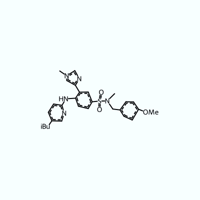 CCC(C)c1ccc(Nc2ccc(S(=O)(=O)N(C)Cc3ccc(OC)cc3)cc2-c2cn(C)cn2)nc1